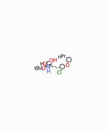 CCCc1cccc(Oc2ccc(CCC[C@](C)(CO)NC(=O)OC(C)(C)C)c(Cl)c2)c1